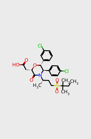 CCC(C)(C)S(=O)(=O)CC[C@H](C)N1C(=O)[C@H](CC(=O)O)O[C@H](c2cccc(Cl)c2)[C@H]1c1ccc(Cl)cc1